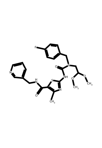 COC(CN(Cc1ccc(F)cc1)C(=O)Nc1nc(C)c(C(=O)NCc2cccnc2)s1)OC